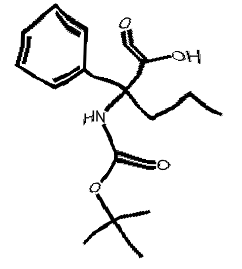 CCCC(NC(=O)OC(C)(C)C)(C(=O)O)c1ccccc1